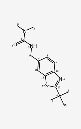 CN(C)C(=O)NCc1ccc2nc(C(C)(C)C)sc2c1